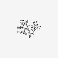 CCOC(OCC)(OCC)Oc1ccc(Br)c(CC(C)c2ccc(C(=O)O)cc2S)c1